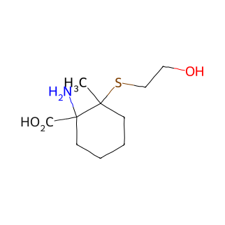 CC1(SCCO)CCCCC1(N)C(=O)O